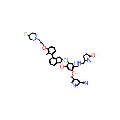 Cc1c(OCCCN2CCC(F)CC2)cccc1-c1cccc2c1CC[C@@H]2Oc1cc(OCc2cncc(C#N)c2)c(CNCC2CCC(=O)N2C)cc1Cl